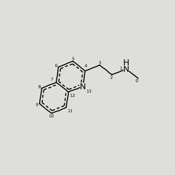 CNCCc1ccc2ccccc2n1